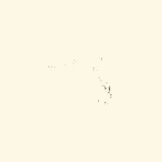 CC[C@H](CC[C@@H](C)[C@H]1CC[C@H]2[C@@H]3CC=C4C[C@@H](SSCCC(CCC(C)(C)NC(=O)O)NCCCCCCCC(C)(C)NC(=O)OCc5ccc(OC)cc5)CC[C@]4(C)[C@H]3CC[C@]12C)C(C)C